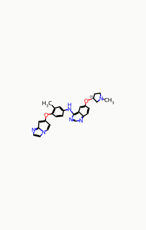 Cc1cc(Nc2ncnc3ccc(O[C@H]4CCN(C)C4)cc23)ccc1Oc1ccn2ccnc2c1